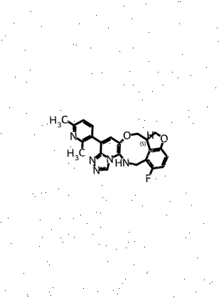 Cc1ccc(-c2cc3c(n4cnnc24)NCc2c(F)ccc4c2[C@@H](CO4)CO3)c(C)n1